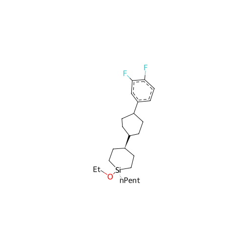 CCCCC[Si@]1(OCC)CC[C@@H](C2CCC(c3ccc(F)c(F)c3)CC2)CC1